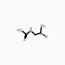 CC[C@H](C)CNC(C)=S